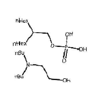 CCCCCCC(CCCCCC)COP(=O)(O)O.CCCCN(CCO)CCCC